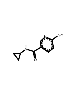 CCCc1ccc(C(=O)NC2CC2)cn1